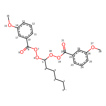 [CH2]CCCC[C](OOC(=O)c1cccc(OC)c1)OOC(=O)c1cccc(OC)c1